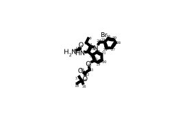 CCc1c(NC(N)=O)c2c(OCC(=O)OC(C)(C)C)cccc2n1Cc1ccccc1Br